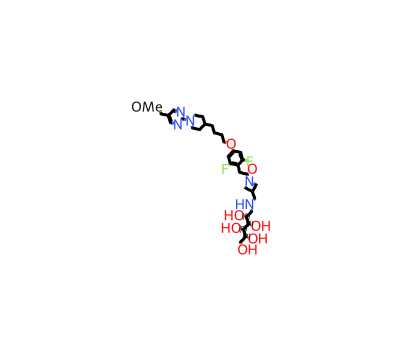 COCc1cnc(N2CCC(CCCCOc3cc(F)c(CC(=O)N4CC(CNC[C@H](O)[C@@H](O)[C@H](O)[C@H](O)CO)C4)c(F)c3)CC2)nc1